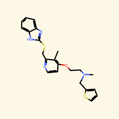 Cc1c(OCCN(C)Cc2cccs2)ccnc1CSc1nc2ccccc2[nH]1